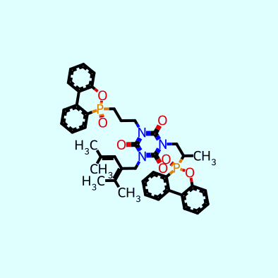 CC(C)=CC(Cn1c(=O)n(CCCP2(=O)Oc3ccccc3-c3ccccc32)c(=O)n(CC(C)P2(=O)Oc3ccccc3-c3ccccc32)c1=O)=C(C)C